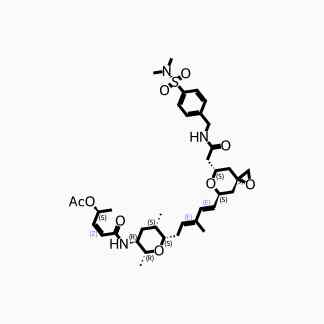 CC(=O)O[C@@H](C)/C=C\C(=O)N[C@@H]1C[C@H](C)[C@H](C/C=C(C)/C=C/[C@@H]2C[C@]3(CO3)C[C@@H](CC(=O)NCc3ccc(S(=O)(=O)N(C)C)cc3)O2)O[C@@H]1C